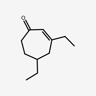 CCC1=CC(=O)CCC(CC)C1